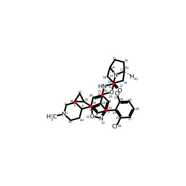 CN1CCC(c2cccc(NC(=O)N3C4CC[C@H]3CC(OCc3c(-c5c(Cl)cccc5Cl)noc3C3CC3)C4)c2)CC1